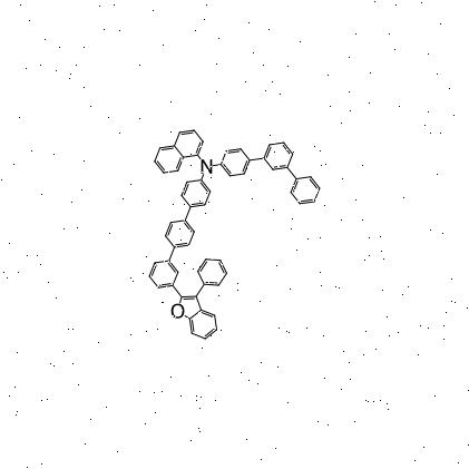 c1ccc(-c2cccc(-c3ccc(N(c4ccc(-c5ccc(-c6cccc(-c7oc8ccccc8c7-c7ccccc7)c6)cc5)cc4)c4cccc5ccccc45)cc3)c2)cc1